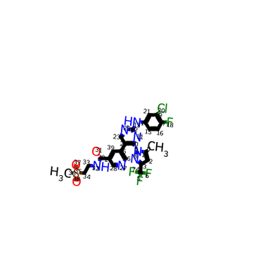 Cc1cc(C(F)(F)F)nn1-c1nc(Nc2ccc(F)c(Cl)c2)ncc1-c1cncc(C(=O)NCCS(C)(=O)=O)c1